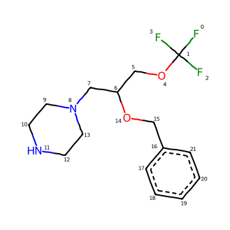 FC(F)(F)OCC(CN1CCNCC1)OCc1ccccc1